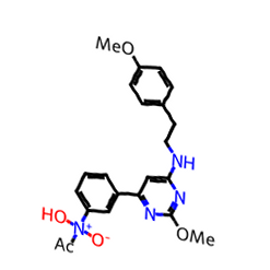 COc1ccc(CCNc2cc(-c3cccc([N+]([O-])(O)C(C)=O)c3)nc(OC)n2)cc1